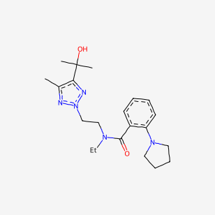 CCN(CCn1nc(C)c(C(C)(C)O)n1)C(=O)c1ccccc1N1CCCC1